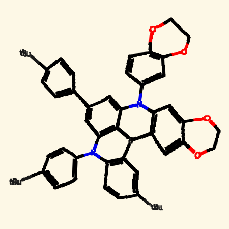 CC(C)(C)c1ccc(-c2cc3c4c(c2)N(c2ccc5c(c2)OCCO5)c2cc5c(cc2B4c2cc(C(C)(C)C)ccc2N3c2ccc(C(C)(C)C)cc2)OCCO5)cc1